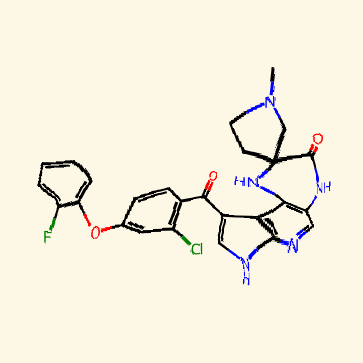 CN1CCC2(C1)Nc1c(cnc3[nH]cc(C(=O)c4ccc(Oc5ccccc5F)cc4Cl)c13)NC2=O